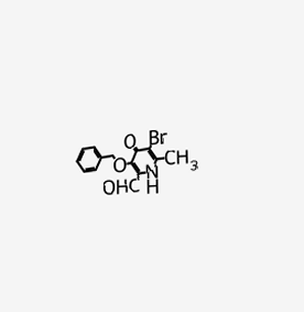 Cc1[nH]c(C=O)c(OCc2ccccc2)c(=O)c1Br